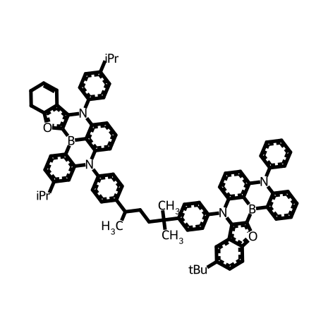 CC(C)c1ccc(N2c3cccc4c3B(c3ccc(C(C)C)cc3N4c3ccc(C(C)CCC(C)(C)c4ccc(N5c6cccc7c6B(c6ccccc6N7c6ccccc6)c6oc7ccc(C(C)(C)C)cc7c65)cc4)cc3)c3oc4c(c32)C=CCC4)cc1